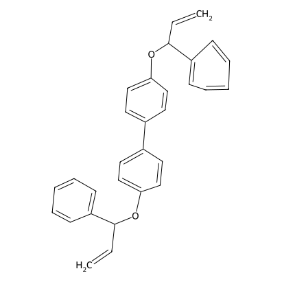 C=CC(Oc1ccc(-c2ccc(OC(C=C)c3ccccc3)cc2)cc1)c1ccccc1